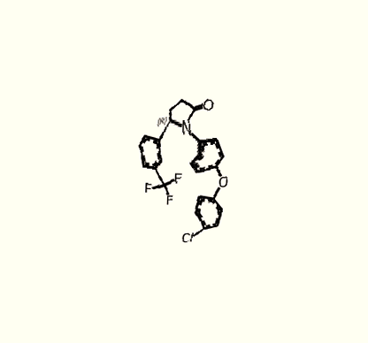 O=C1CC[C@H](c2cccc(C(F)(F)F)c2)N1c1ccc(Oc2ccc(Cl)cc2)cc1